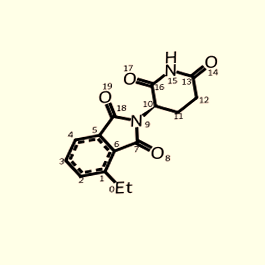 CCc1cccc2c1C(=O)N([C@@H]1CCC(=O)NC1=O)C2=O